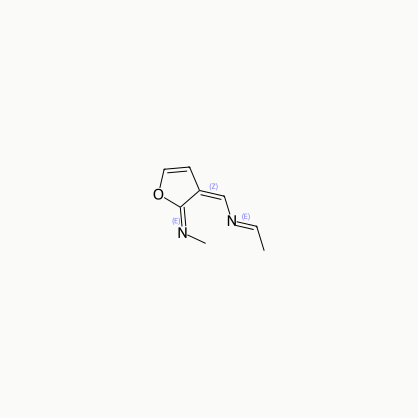 C/C=N/C=C1/C=CO/C1=N/C